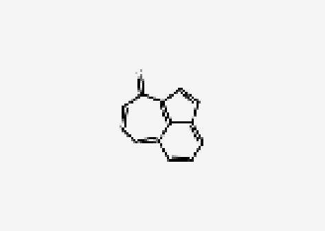 O=c1cccc2cccc3c2c1C=C3